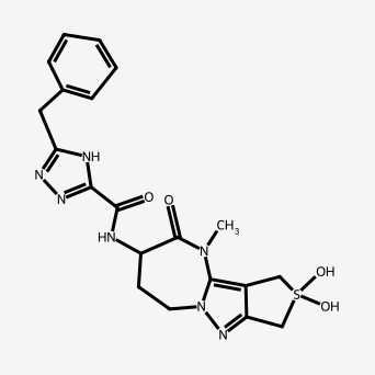 CN1C(=O)C(NC(=O)c2nnc(Cc3ccccc3)[nH]2)CCn2nc3c(c21)CS(O)(O)C3